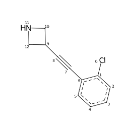 Clc1ccccc1C#CC1CNC1